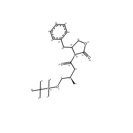 C[C@@H](CO[Si](C)(C)C(C)(C)C)CC(=O)N1C(=O)OCC1Cc1ccccc1